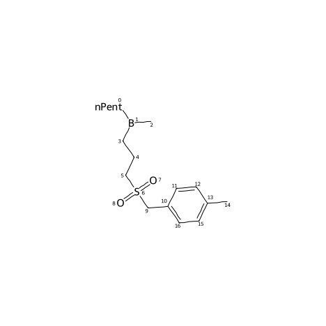 CCCCCB(C)CCCS(=O)(=O)Cc1ccc(C)cc1